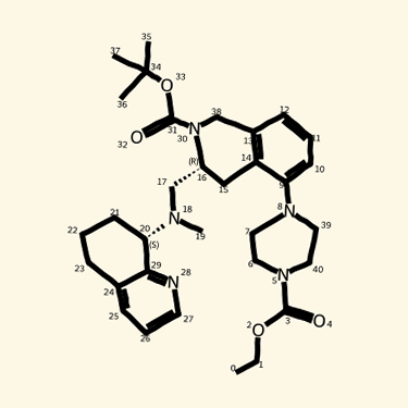 CCOC(=O)N1CCN(c2cccc3c2C[C@H](CN(C)[C@H]2CCCc4cccnc42)N(C(=O)OC(C)(C)C)C3)CC1